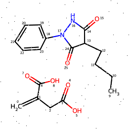 C=C(CC(=O)O)C(=O)O.CCCCC1C(=O)NN(c2ccccc2)C1=O